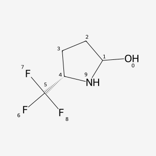 OC1CC[C@@H](C(F)(F)F)N1